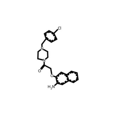 Nc1cc2ccccc2cc1OCC(=O)N1CCN(Cc2ccc(Cl)cc2)CC1